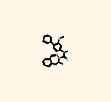 COc1cc(N(C)C(=O)N2N=Cc3ccccc3CC2C)ccc1-c1ccccc1